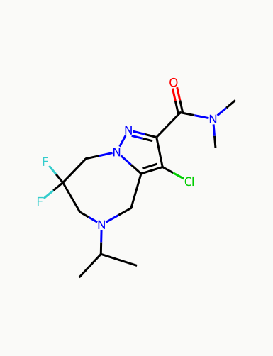 CC(C)N1Cc2c(Cl)c(C(=O)N(C)C)nn2CC(F)(F)C1